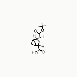 CC(C)(C)OC(=O)N[C@@H]1C[C@H](C(=O)O)C2CC1C2